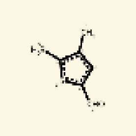 Bc1sc(C=O)cc1C